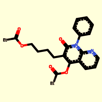 CCC(=O)OCCCCc1c(OC(=O)CC)c2cccnc2n(-c2ccccc2)c1=O